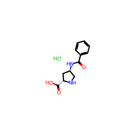 Cl.O=C(N[C@H]1CN[C@H](C(=O)O)C1)c1ccccc1